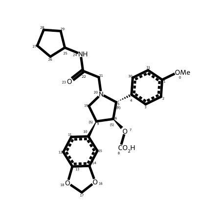 COc1ccc([C@@H]2[C@@H](OC(=O)O)[C@@H](c3ccc4c(c3)OCO4)CN2CC(=O)NC2CCCC2)cc1